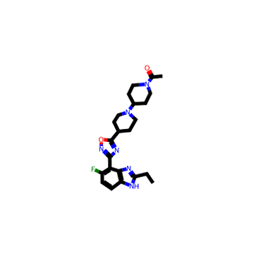 CCc1nc2c(-c3noc(C4CCN(C5CCN(C(C)=O)CC5)CC4)n3)c(F)ccc2[nH]1